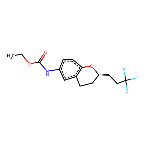 CCOC(=O)Nc1ccc2c(c1)CC[C@H](CCC(F)(F)F)O2